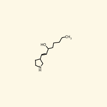 CCCCCC(O)/C=C/C1CCNC1